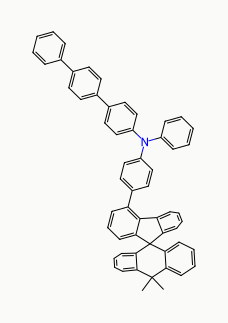 CC1(C)c2ccccc2C2(c3ccccc3-c3c(-c4ccc(N(c5ccccc5)c5ccc(-c6ccc(-c7ccccc7)cc6)cc5)cc4)cccc32)c2ccccc21